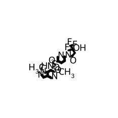 COc1ncc2cnn(C)c2c1NS(=O)(=O)c1ccc(N2C[C@](O)(C(F)(F)F)CC2=O)nc1